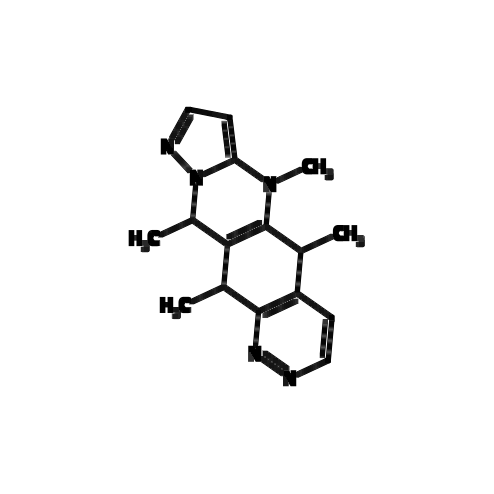 CC1C2=C(C(C)c3nnccc31)C(C)n1nccc1N2C